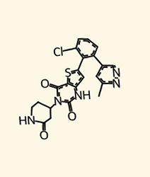 Cc1cc(-c2cccc(Cl)c2-c2cc3[nH]c(=O)n(C4CCNC(=O)C4)c(=O)c3s2)cnn1